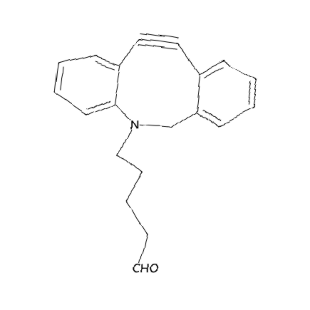 O=CCCCCN1Cc2ccccc2C#Cc2ccccc21